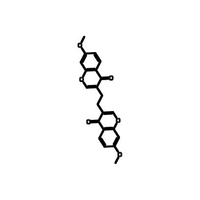 COc1ccc2c(=O)c(CCc3coc4cc(OC)ccc4c3=O)coc2c1